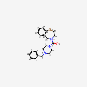 O=C(N1CCN(Cc2ccccc2)CC1)N1CCSc2ccccc2C1